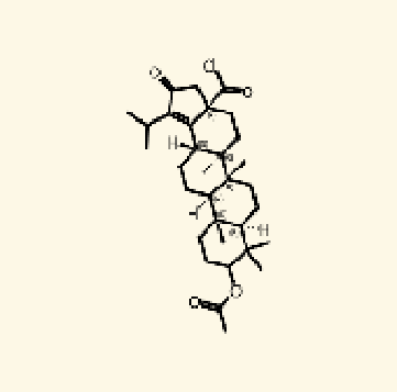 CC(=O)OC1CC[C@]2(C)[C@H]3CC[C@@H]4C5=C(C(C)C)C(=O)C[C@]5(C(=O)Cl)CC[C@@]4(C)[C@]3(C)CC[C@H]2C1(C)C